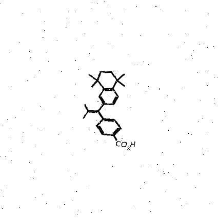 CC(C)=C(c1ccc(C(=O)O)cc1)c1ccc2c(c1)C(C)(C)CCC2(C)C